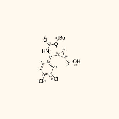 CC(C)(C)OC(=O)NC(c1ccc(Cl)c(Cl)c1)C1CC1CO